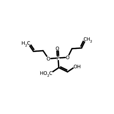 C=CCOP(=O)(OCC=C)C(=CO)C(=O)O